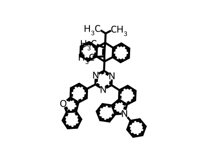 CC1=C(C)C2(C(C)C)c3ccccc3C1(c1nc(-c3ccc4oc5ccccc5c4c3)nc(-c3cccc4c3c3ccccc3n4-c3ccccc3)n1)c1ccccc12